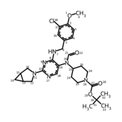 COc1ccc(CNc2nc(N3CC4CC4C3)ncc2N(C=O)C2CCN(C(=O)OC(C)(C)C)CC2)cc1Cl